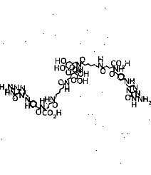 Nc1nc2ncc(CNc3ccc(C(=O)NC(CCC(=O)NCCCCCC(=O)NCC4CC(O)[C@H](O)[C@@H](O[C@@H]5C(CNC(=O)CCCCCNC(=O)CCC(NC(=O)c6ccc(NCc7cnc8nc(N)[nH]c(=O)c8n7)cc6)C(=O)O)O[C@H](O)C(O)[C@H]5O)O4)C(=O)O)cc3)nc2c(=O)[nH]1